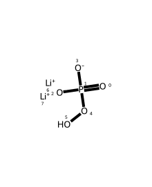 O=P([O-])([O-])OO.[Li+].[Li+]